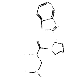 CCCCC[C@@H](CN(O)C=O)C(=O)N1CCC[C@H]1c1nc2ccccc2o1